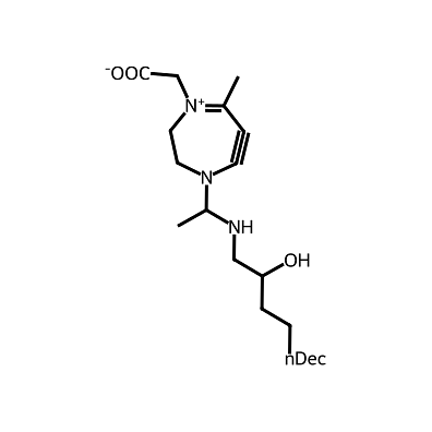 CCCCCCCCCCCCC(O)CNC(C)N1C#CC(C)=[N+](CC(=O)[O-])CC1